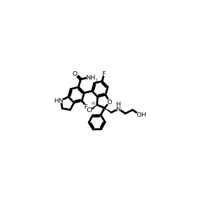 NC(=O)c1cc2c(c(F)c1-c1cc(F)cc3c1[C@H](Cl)[C@@](CNCCO)(c1ccccc1)O3)CCN2